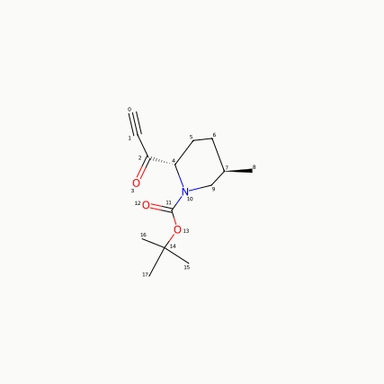 C#CC(=O)[C@@H]1CC[C@@H](C)CN1C(=O)OC(C)(C)C